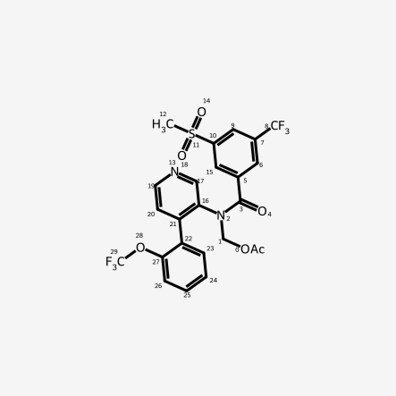 CC(=O)OCN(C(=O)c1cc(C(F)(F)F)cc(S(C)(=O)=O)c1)c1cnccc1-c1ccccc1OC(F)(F)F